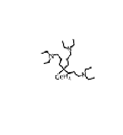 [CH2]C(CCCN(CC)CC)(CCCN(CC)CC)CCCN(CC)CC.[GeH4]